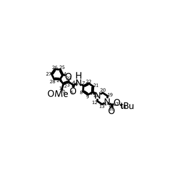 COCc1c(C(=O)Nc2ccc(N3CCN(C(=O)OC(C)(C)C)CC3)cc2)oc2ccccc12